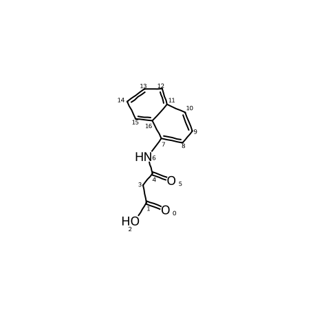 O=C(O)CC(=O)Nc1cccc2ccccc12